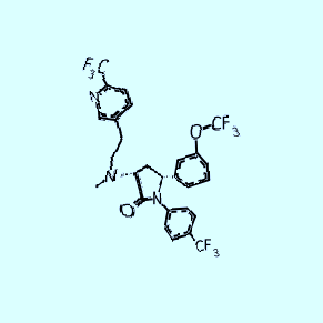 CN(CCc1ccc(C(F)(F)F)nc1)[C@@H]1C[C@H](c2cccc(OC(F)(F)F)c2)N(c2ccc(C(F)(F)F)cc2)C1=O